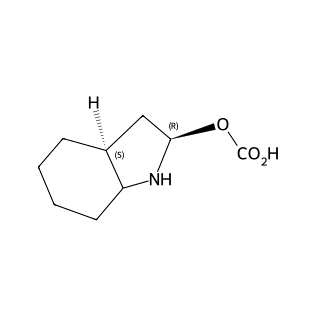 O=C(O)O[C@@H]1C[C@@H]2CCCCC2N1